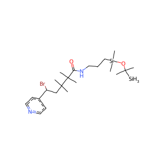 CC(C)([SiH3])O[Si](C)(C)CCCNC(=O)C(C)(C)C(C)(C)CC(Br)c1ccncc1